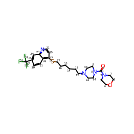 O=C(N1CCOCC1)N1CCN(CCCCCCSc2ccnc3cc(C(F)(F)F)ccc23)CC1